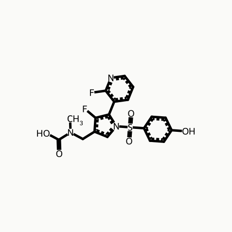 CN(Cc1cn(S(=O)(=O)c2ccc(O)cc2)c(-c2cccnc2F)c1F)C(=O)O